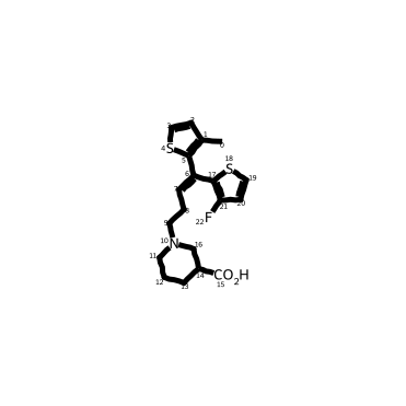 Cc1ccsc1C(=CCCN1CCCC(C(=O)O)C1)c1sccc1F